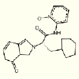 O=C1CC=CC2=CN([C@@H](CC3CCCCC3)C(=O)Nc3cccc[n+]3[O-])CC12